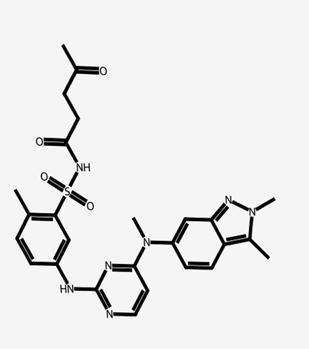 CC(=O)CCC(=O)NS(=O)(=O)c1cc(Nc2nccc(N(C)c3ccc4c(C)n(C)nc4c3)n2)ccc1C